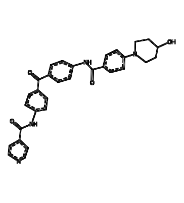 O=C(Nc1ccc(C(=O)c2ccc(NC(=O)c3ccc(N4CCC(O)CC4)cc3)cc2)cc1)c1ccncc1